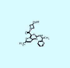 COC1CN(C(=O)c2nc(NC(C)c3ccccn3)nc3cc(C)sc23)C1